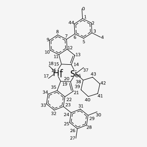 Cc1cc(C)cc(-c2cccc3c2C=C2[CH]3[Hf]([CH3])([CH3])[CH]3C(=Cc4c(-c5cc(C)cc(C)c5)cccc43)[Si]2(C)C2CCCCC2)c1